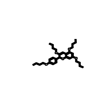 CCCCOC1=Cc2c(OCCCC)cc(OCCCC)cc2OC1c1ccc(OCCCC)cc1